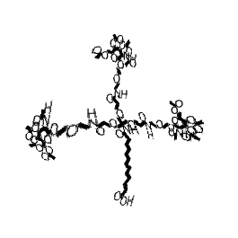 CC(=O)NC1C(OC(C)=O)[C@@H](OC(C)=O)C(COC(C)=O)O[C@H]1OCCOCCNC(=O)CCOCC(COCCC(=O)NCCOCCO[C@@H]1OC(COC(C)=O)[C@H](OC(C)=O)C(OC(C)=O)C1NC(C)=O)(COCCC(=O)NCCOCCO[C@@H]1OC(COC(C)=O)[C@H](OC(C)=O)C(OC(C)=O)C1NC(C)=O)NC(=O)CCCCCCCCCCCC(=O)O